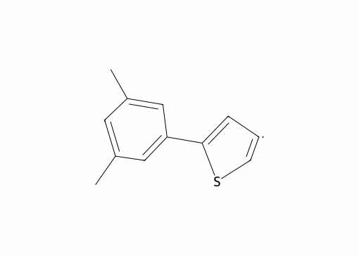 Cc1cc(C)cc(-c2c[c]cs2)c1